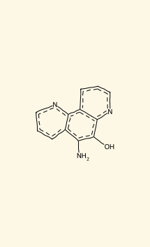 Nc1c(O)c2ncccc2c2ncccc12